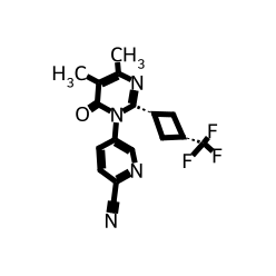 Cc1nc([C@H]2C[C@@H](C(F)(F)F)C2)n(-c2ccc(C#N)nc2)c(=O)c1C